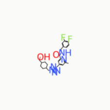 Cc1cc(-c2nnn(CC3CCC(CO)CC3)n2)cc(C(=O)NCc2ccc(F)c(F)c2)n1